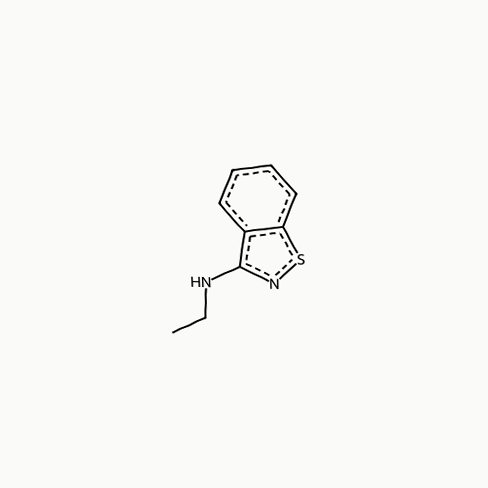 CCNc1nsc2ccccc12